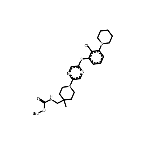 CC1(CNC(=O)OC(C)(C)C)CCN(c2cnc(Sc3cccc(N4CCCCC4)c3Cl)cn2)CC1